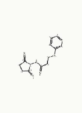 O=C(CCSc1cccnc1)ON1C(=O)CCC1=O